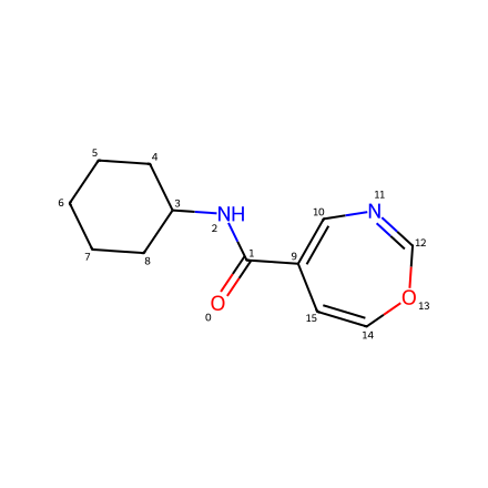 O=C(NC1CCCCC1)C1=CN=COC=C1